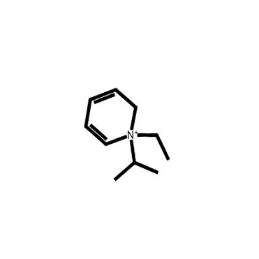 CC[N+]1(C(C)C)C=CC=CC1